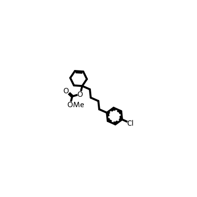 COC(=O)OC1(CCCCc2ccc(Cl)cc2)CC=CCC1